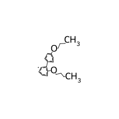 CCCCOc1ccc(-c2[c]cccc2OCCCC)cc1